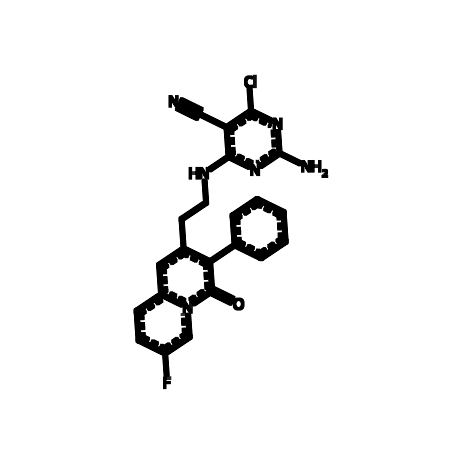 N#Cc1c(Cl)nc(N)nc1NCCc1cc2ccc(F)cn2c(=O)c1-c1ccccc1